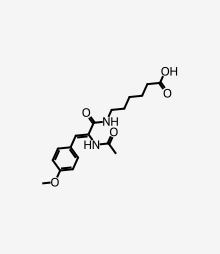 COc1ccc(C=C(NC(C)=O)C(=O)NCCCCCC(=O)O)cc1